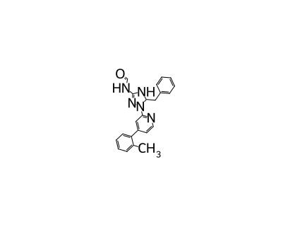 Cc1ccccc1-c1ccnc(N2N=C(NC=O)NC2Cc2ccccc2)c1